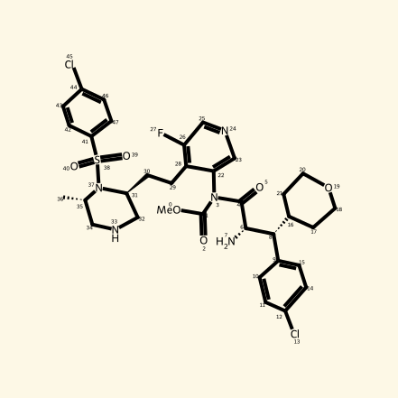 COC(=O)N(C(=O)[C@@H](N)[C@@H](c1ccc(Cl)cc1)C1CCOCC1)c1cncc(F)c1CC[C@H]1CNC[C@H](C)N1S(=O)(=O)c1ccc(Cl)cc1